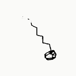 CC(=O)SCCCCCC[C]12[CH]3[CH]4[CH]5[CH]1[Fe]45321678[CH]2[CH]1[CH]6[CH]7[CH]28